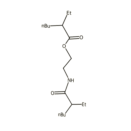 CCCCC(CC)C(=O)NCCOC(=O)C(CC)CCCC